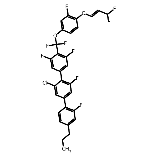 CCCc1ccc(-c2cc(F)c(-c3cc(F)c(C(F)(F)Oc4ccc(O/C=C/C(F)F)c(F)c4)c(F)c3)c(Cl)c2)c(F)c1